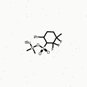 CC(C)C1CCC(C)(F)C(F)(F)C1S(=O)(=O)O[Si](C)(C)C(C)(C)C